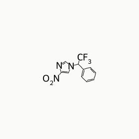 O=[N+]([O-])c1cn(C(c2ccccc2)C(F)(F)F)cn1